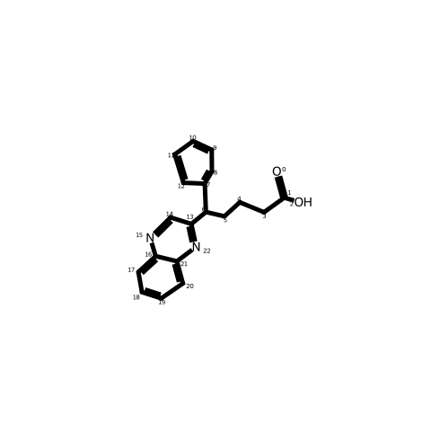 O=C(O)CCCC(c1ccccc1)c1cnc2ccccc2n1